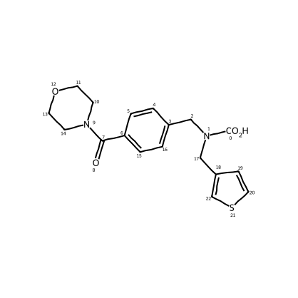 O=C(O)N(Cc1ccc(C(=O)N2CCOCC2)cc1)Cc1ccsc1